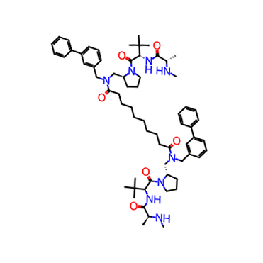 CN[C@@H](C)C(=O)N[C@H](C(=O)N1CCC[C@H]1CN(Cc1cccc(-c2ccccc2)c1)C(=O)CCCCCCCCC(=O)N(Cc1cccc(-c2ccccc2)c1)C[C@@H]1CCCN1C(=O)[C@@H](NC(=O)[C@H](C)NC)C(C)(C)C)C(C)(C)C